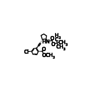 COC(=O)c1ccc(Cl)cc1C#C[C@@H]1CCC[C@H]1NC(=O)OC(C)(C)C